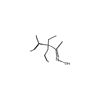 CCC(CC)(C(C)=NO)C(C)C